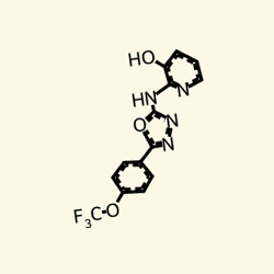 Oc1cccnc1Nc1nnc(-c2ccc(OC(F)(F)F)cc2)o1